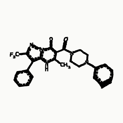 Cc1[nH]c2c(-c3ccccc3)c(C(F)(F)F)nn2c(=O)c1C(=O)N1CCN(c2cc#ccc2)CC1